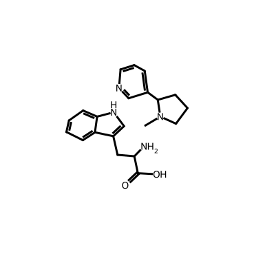 CN1CCCC1c1cccnc1.NC(Cc1c[nH]c2ccccc12)C(=O)O